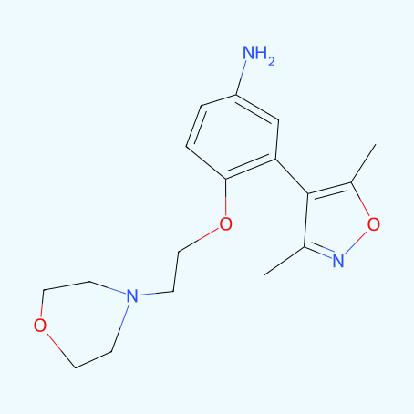 Cc1noc(C)c1-c1cc(N)ccc1OCCN1CCOCC1